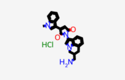 Cl.Cn1cc(C2=CC(=O)N(c3cn4c5c(cccc35)CC(CN)C4)C2=O)c2ccccc21